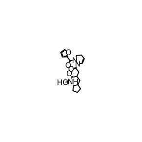 O=C(NO)C(CC(=O)N1C=CCCN1C(=O)c1ccco1)CC1CCCC1